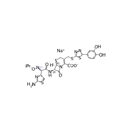 CC(C)O/N=C(/C(=O)N[C@@H]1C(=O)N2C(C(=O)[O-])=C(CSc3nnc(-c4ccc(O)c(O)c4)s3)CS[C@H]12)c1csc(N)n1.[Na+]